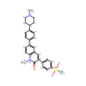 CN1CCC(c2ccc(-c3ccc4c(c3)cc(-c3ccc(S(C)(=O)=O)cc3)c(=O)n4C)cc2)CC1